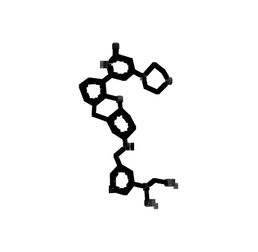 CCN(C)c1cncc(CNc2ccc3c(c2)Cc2cccc(-c4cc(N5CCOCC5)cc(=O)[nH]4)c2O3)c1